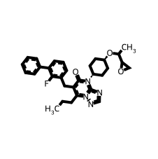 CCCc1c(Cc2cccc(-c3ccccc3)c2F)c(=O)n([C@H]2CC[C@H](OC(C)C3CO3)CC2)c2ncnn12